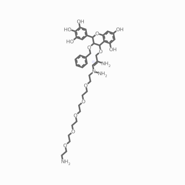 NCCOCCOCCOCCOCCOCCN(N)/C=C(\N)COC1c2c(O)cc(O)cc2OC(c2cc(O)c(O)c(O)c2)C1OCc1ccccc1